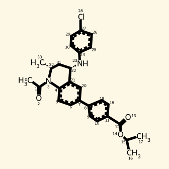 CC(=O)N1c2ccc(-c3ccc(C(=O)OC(C)C)cc3)cc2[C@@H](Nc2ccc(Cl)cc2)C[C@H]1C